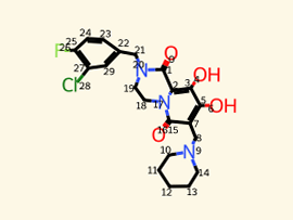 O=C1c2c(O)c(O)c(CN3CCCCC3)c(=O)n2CCN1Cc1ccc(F)c(Cl)c1